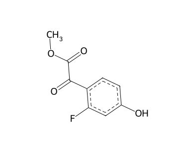 COC(=O)C(=O)c1ccc(O)cc1F